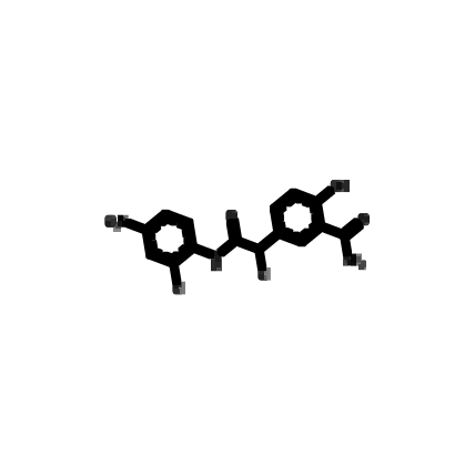 NC(=O)c1cc(C(Cl)C(=O)Nc2ccc([N+](=O)[O-])cc2Cl)ccc1O